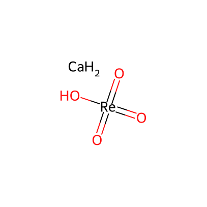 [CaH2].[O]=[Re](=[O])(=[O])[OH]